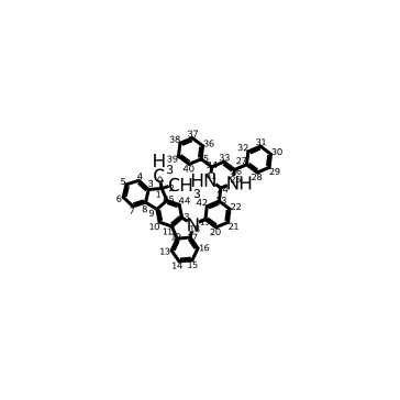 CC1(C)c2ccccc2-c2cc3c4ccccc4n(-c4cccc(C5NC(c6ccccc6)=CC(c6ccccc6)N5)c4)c3cc21